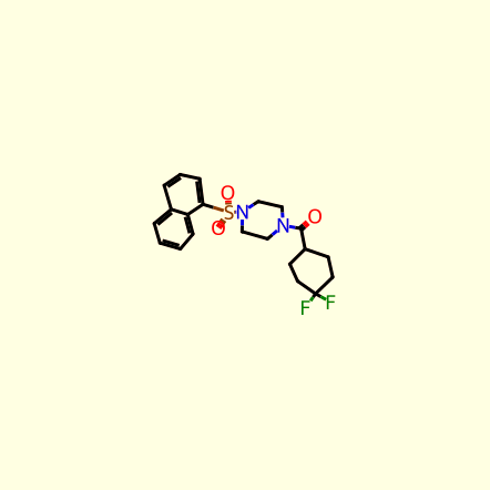 O=C(C1CCC(F)(F)CC1)N1CCN(S(=O)(=O)c2cccc3ccccc23)CC1